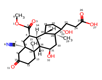 COC(=O)[C@@H]1C[C@]2(C#N)CC(=O)CC[C@]2(C)[C@@H]2[C@@H]1[C@@H]1CC[C@@](O)(CCC(=O)O)[C@@]1(C)C[C@H]2O